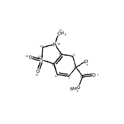 CCC1(C(=O)OC)C=CC2=C(C1)N(C)CS2(=O)=O